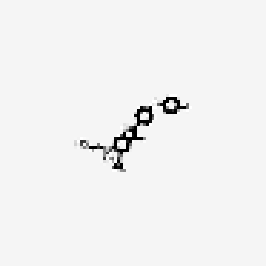 Cc1c(-c2ccc(Oc3ccc(F)cc3)cc2)oc2cc(N(S)CCS)c(C3CC3)cc12